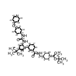 CC(C)(C)OC(=O)N1CCC(CNC(=O)c2cccc(-n3nc(C(C)(C)C)cc3NC(=O)Nc3ccc(Oc4ccncc4)cc3)c2)CC1